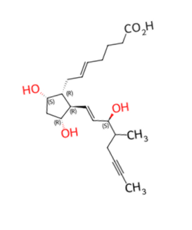 CC#CCC(C)[C@H](O)C=C[C@@H]1[C@@H](CC=CCCCC(=O)O)[C@@H](O)C[C@H]1O